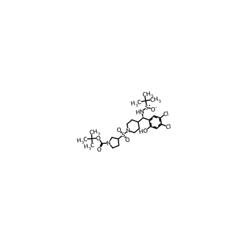 CC(C)(C)OC(=O)N1CCC(S(=O)(=O)N2CCC([C@@H](N[S+]([O-])C(C)(C)C)c3cc(Cl)c(Cl)cc3O)CC2)C1